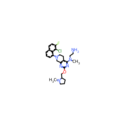 CN(CCN)c1nc(OCC2CCCN2C)nc2c1CCN(c1cccc3ccc(F)c(Cl)c13)C2